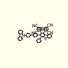 N#Cc1cc(C#N)c(-c2c(-c3ccc(-c4ccc(-n5c6ccccc6c6ccccc65)cc4)cc3)c(-c3ccccc3)c3sc4ccccc4c3c2-c2c(C#N)cc(C#N)cc2C#N)c(C#N)c1